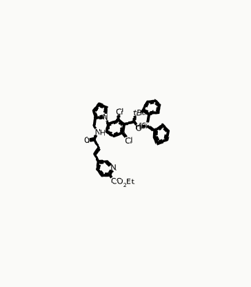 CCOC(=O)c1ccc(C=CC(=O)NCc2cccn2-c2ccc(Cl)c(C(O[SiH](c3ccccc3)c3ccccc3)C(C)(C)C)c2Cl)cn1